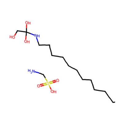 CCCCCCCCCCCCNC(O)(O)CO.NCS(=O)(=O)O